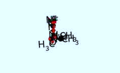 COc1cccc2c1nc(NCc1ccc(C)c(C)c1)n1nc([C@H]3C[C@@H](c4ccc(C5(N=[N+]=[N-])CC(F)(F)C5)cn4)C3)nc21